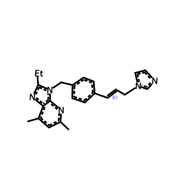 CCc1nc2c(C)cc(C)nc2n1Cc1ccc(/C=C/Cn2ccnc2)cc1